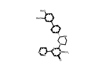 COc1ccc(-c2ccc([C@H]3CN(c4nc(-c5ccncn5)cc(=O)n4C)CCN3)cc2)cc1OC